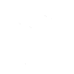 CCC(=O)N1CCC(Oc2ncc(-c3cccc(CO)c3F)cn2)C1